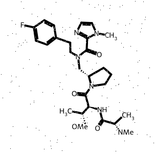 CN[C@@H](C)C(=O)N[C@H](C(=O)N1CCC[C@H]1CN(CCc1ccc(F)cc1)C(=O)c1nccn1C)[C@@H](C)OC